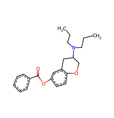 CCCN(CCC)C1COc2ccc(OC(=O)c3ccccc3)cc2C1